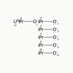 CC(C)[O-].CC(C)[O-].CC(C)[O-].CC(C)[O-].CC(C)[O-].CC(C)[O-].[U+6]